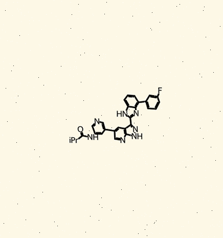 CC(C)C(=O)Nc1cncc(-c2cnc3[nH]nc(-c4nc5c(-c6cccc(F)c6)cccc5[nH]4)c3c2)c1